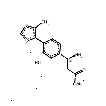 COC(=O)C[C@H](N)c1ccc(-c2scnc2C)cc1.Cl